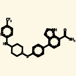 NC(=O)c1ccc(-c2ccc(SN3CCC(Nc4ccc(C(F)(F)F)cn4)CC3)cc2)c2cc[nH]c12